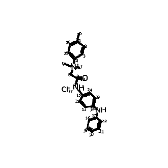 Cc1ccc([N+](C)(C)CC(=O)Nc2ccc(Nc3ccccc3)cc2)cc1.[Cl-]